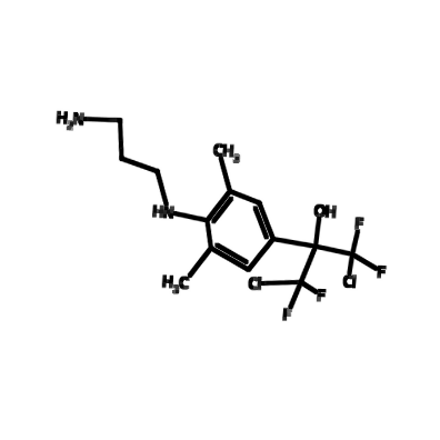 Cc1cc(C(O)(C(F)(F)Cl)C(F)(F)Cl)cc(C)c1NCCCN